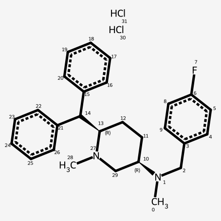 CN(Cc1ccc(F)cc1)[C@@H]1CC[C@H](C(c2ccccc2)c2ccccc2)N(C)C1.Cl.Cl